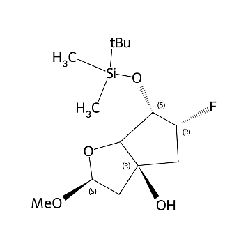 CO[C@@H]1C[C@@]2(O)C[C@@H](F)[C@@H](O[Si](C)(C)C(C)(C)C)C2O1